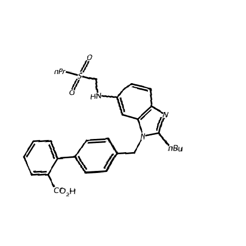 CCCCc1nc2ccc(NCS(=O)(=O)CCC)cc2n1Cc1ccc(-c2ccccc2C(=O)O)cc1